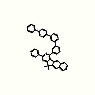 CC1(C)c2cc3ccccc3cc2-c2c(-c3cccc(-c4cccc(-c5ccc(-c6ccccc6)cc5)c4)c3)nc(-c3ccccc3)nc21